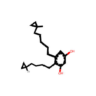 CCC1(CCCCc2c(O)cc(O)cc2CCCCCC2(C)CC2)CC1